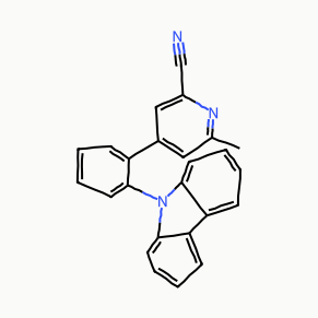 Cc1cc(-c2ccccc2-n2c3ccccc3c3ccccc32)cc(C#N)n1